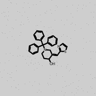 OC1CCN(C(c2ccccc2)(c2ccccc2)c2ccccc2)C/C1=C\c1nccs1